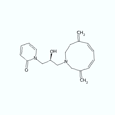 C=C1/C=C\C=C/C(=C)CN(C[C@H](O)Cn2ccccc2=O)CC1